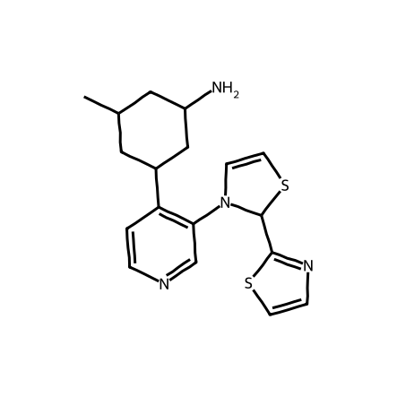 CC1CC(N)CC(c2ccncc2N2C=CSC2c2nccs2)C1